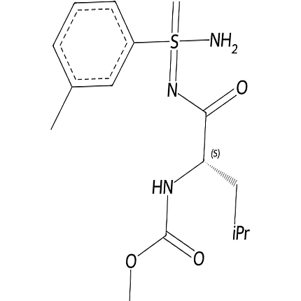 Cc1cccc(S(N)(=O)=NC(=O)[C@H](CC(C)C)NC(=O)OC(C)(C)C)c1